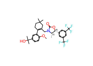 COc1ccc(C(C)(C)O)cc1C1=C(CN2C(=O)O[C@H](c3cc(C(F)(F)F)cc(C(F)(F)F)c3)[C@@H]2C)CC(C)(C)CC1